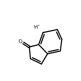 O=C1C=Cc2ccccc21.[H+]